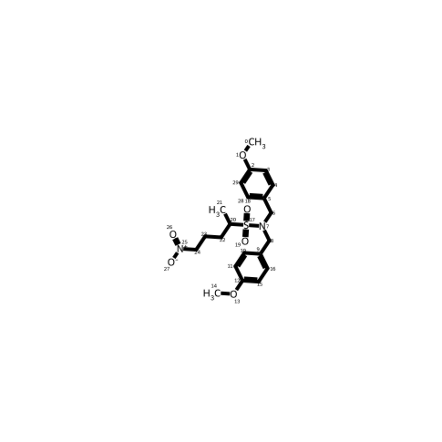 COc1ccc(CN(Cc2ccc(OC)cc2)S(=O)(=O)C(C)CCC[N+](=O)[O-])cc1